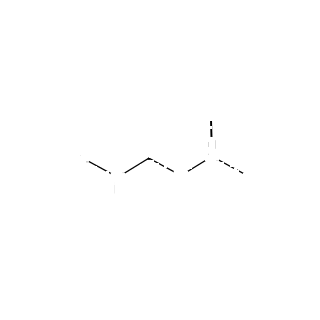 C[SiH](C)OC[SiH2]Cl